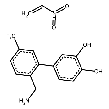 C=C[SH](=O)=O.NCc1ccc(C(F)(F)F)cc1-c1ccc(O)c(O)c1